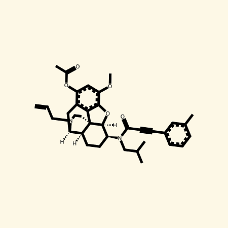 C=CCN1CC[C@]23c4c5c(OC(C)=O)cc(OC)c4O[C@H]2[C@@H](N(CC(C)C)C(=O)C#Cc2cccc(C)c2)CC[C@H]3[C@H]1C5